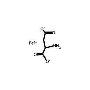 NC(CC(=O)[O-])C(=O)[O-].[Fe+2]